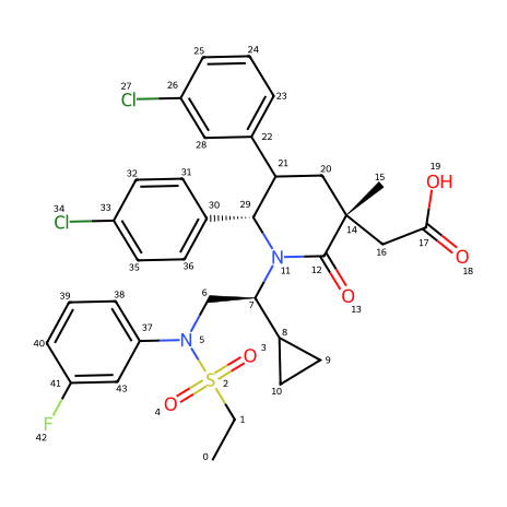 CCS(=O)(=O)N(C[C@H](C1CC1)N1C(=O)[C@@](C)(CC(=O)O)CC(c2cccc(Cl)c2)[C@H]1c1ccc(Cl)cc1)c1cccc(F)c1